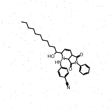 CCCCCCCCCCC(O)C1C=CC2C(=O)N(c3ccccc3)C(=O)C2N1Nc1ccc(C#N)cc1